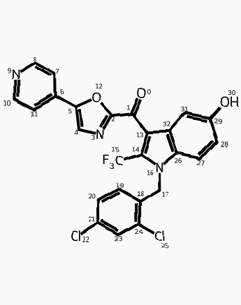 O=C(c1ncc(-c2ccncc2)o1)c1c(C(F)(F)F)n(Cc2ccc(Cl)cc2Cl)c2ccc(O)cc12